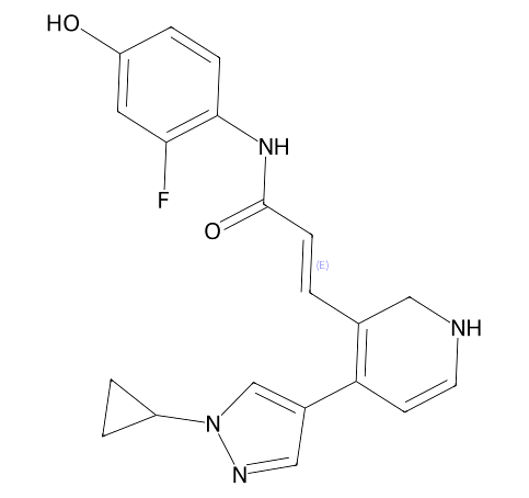 O=C(/C=C/C1=C(c2cnn(C3CC3)c2)C=CNC1)Nc1ccc(O)cc1F